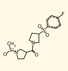 C[S+]([O-])N1CCC(C(=O)N2CCC(S(=O)(=O)c3ccc(F)cc3)C2)C1